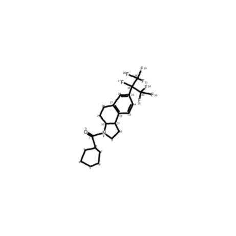 O=C(C1CCCCC1)N1CCC2c3ccc(C(F)(C(F)(F)F)C(F)(F)F)cc3CCC21